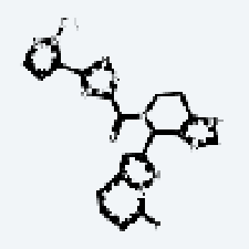 Cn1nccc1-c1nnc(C(=O)N2CCc3[nH]cnc3C2c2cc3cccc(F)n3n2)o1